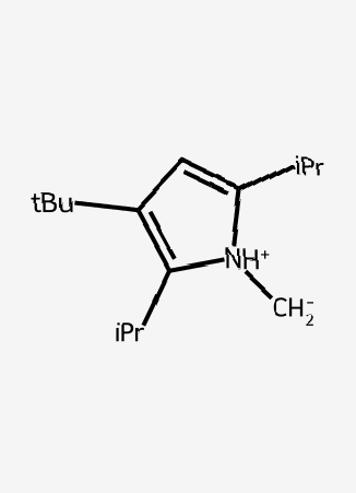 [CH2-][NH+]1C(C(C)C)=CC(C(C)(C)C)=C1C(C)C